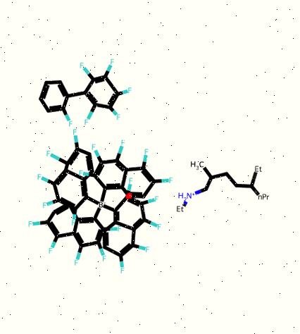 CCCC(CC)CCC(C)C[NH2+]CC.Fc1ccc2c([B-](c3c(F)c(F)c(F)c4c(F)c(F)ccc34)(c3c(F)c(F)c(F)c4c(F)c(F)ccc34)c3c(F)c(F)c(F)c4c(F)c(F)ccc34)c(F)c(F)c(F)c2c1F.Fc1ccccc1-c1c(F)c(F)c(F)c(F)c1F